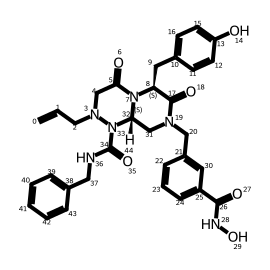 C=CCN1CC(=O)N2[C@@H](Cc3ccc(O)cc3)C(=O)N(Cc3cccc(C(=O)NO)c3)C[C@@H]2N1C(=O)NCc1ccccc1